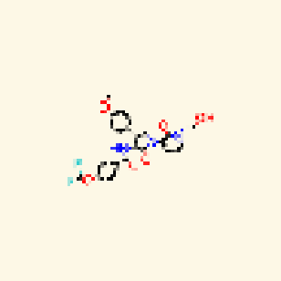 COc1ccc([C@@H]2CN(c3cccn(CCO)c3=O)C(=O)C2NC(=O)c2ccc(OC(F)F)cc2)cc1